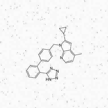 Cc1ccnc2c1cc(C1CC1)n2Cc1ccc(-c2ccccc2-c2nnn[nH]2)cc1